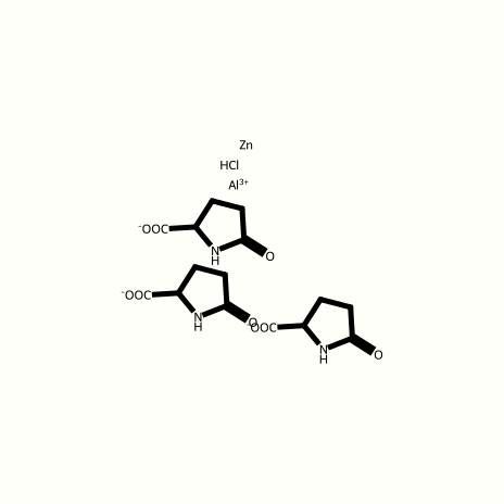 Cl.O=C1CCC(C(=O)[O-])N1.O=C1CCC(C(=O)[O-])N1.O=C1CCC(C(=O)[O-])N1.[Al+3].[Zn]